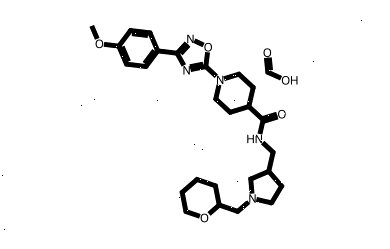 COc1ccc(-c2noc(N3CCC(C(=O)NCC4CCN(CC5CCCCO5)C4)CC3)n2)cc1.O=CO